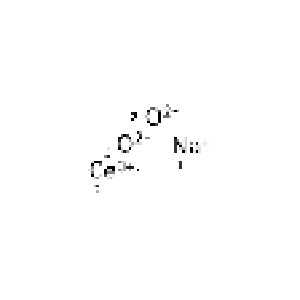 [Ce+3].[Na+].[O-2].[O-2]